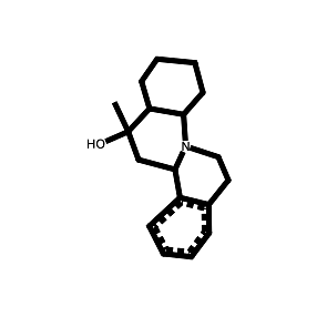 CC1(O)CC2c3ccccc3CCN2C2CCCCC21